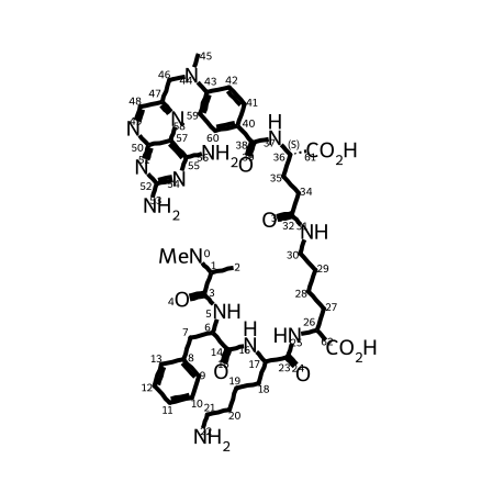 CNC(C)C(=O)NC(Cc1ccccc1)C(=O)NC(CCCCN)C(=O)NC(CCCCNC(=O)CC[C@H](NC(=O)c1ccc(N(C)Cc2cnc3nc(N)nc(N)c3n2)cc1)C(=O)O)C(=O)O